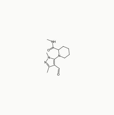 CNC(=O)C1CCCCN1c1c(C=O)c(C)nn1C